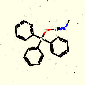 C/N=B/O[Si](c1ccccc1)(c1ccccc1)c1ccccc1